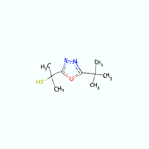 CC(C)(C)c1nnc(C(C)(C)S)o1